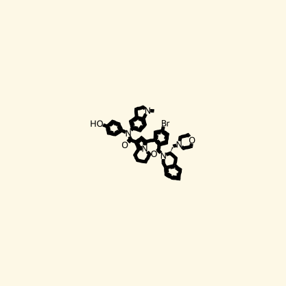 CN1CCc2cc(N(C(=O)c3cc(-c4cc(Br)ccc4C(=O)N4Cc5ccccc5C[C@H]4CN4CCOCC4)n4c3CCCC4)c3ccc(O)cc3)ccc21